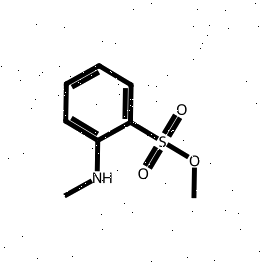 CNc1ccccc1S(=O)(=O)OC